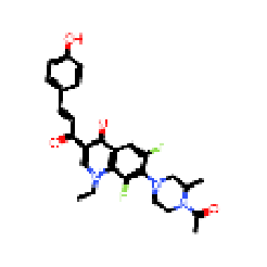 CCn1cc(C(=O)/C=C/c2ccc(O)cc2)c(=O)c2cc(F)c(N3CCN(C(C)=O)C(C)C3)c(F)c21